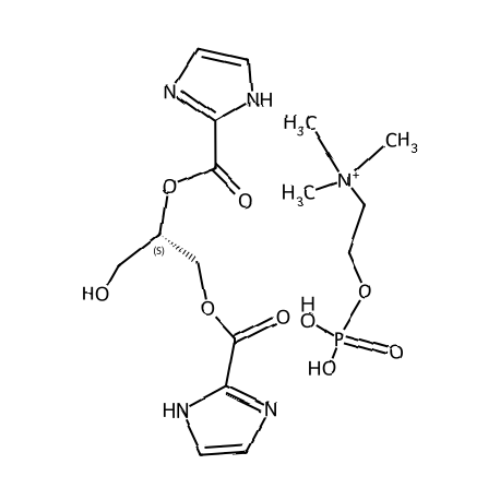 C[N+](C)(C)CCOP(=O)(O)O.O=C(OC[C@H](CO)OC(=O)c1ncc[nH]1)c1ncc[nH]1